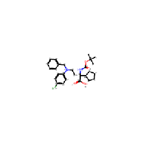 CC(C)(C)OC(=O)N[C@](CCN(Cc1ccccc1)c1ccc(Br)cc1)(C(=O)O)C1CCCC1